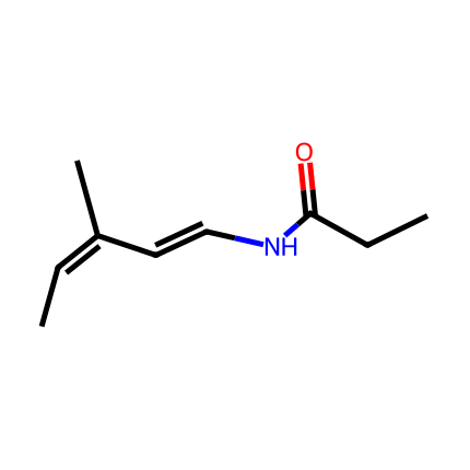 C/C=C(C)\C=C\NC(=O)CC